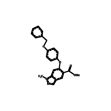 COC(=O)c1cc2cnn(C)c2cc1Oc1ccc(OCc2ccccc2)cc1